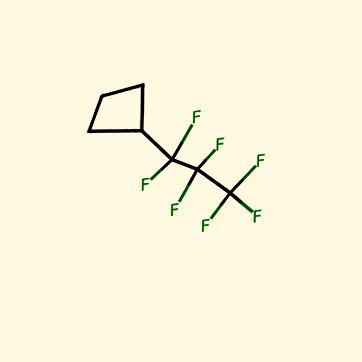 FC(F)(F)C(F)(F)C(F)(F)C1CCC1